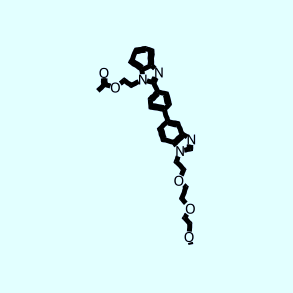 COCCOCCOCCn1cnc2cc(-c3ccc(-c4nc5ccccc5n4CCOC(C)=O)cc3)ccc21